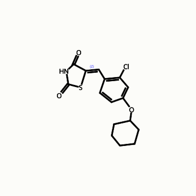 O=C1NC(=O)/C(=C/c2ccc(OC3CCCCC3)cc2Cl)S1